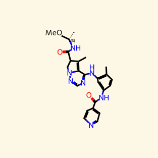 COC[C@H](C)NC(=O)C1CN2N=CN=C(Nc3cc(NC(=O)c4ccncc4)ccc3C)C2=C1C